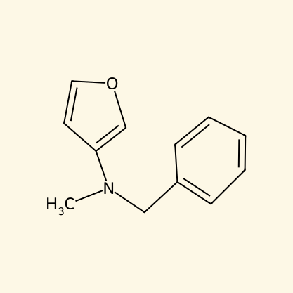 CN(Cc1ccccc1)c1ccoc1